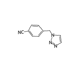 N#Cc1ccc(Cn2ccnn2)cc1